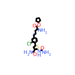 NC(=O)Nc1sc(-c2ccc(/C=C/C[C@H](N)C(=O)OC3CCCC3)cc2Cl)cc1C(N)=O